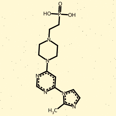 Cc1nccn1-c1cc(N2CCN(CCP(=O)(O)O)CC2)ncn1